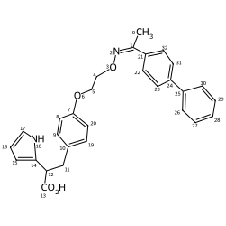 C/C(=N/OCCOc1ccc(CC(C(=O)O)c2ccc[nH]2)cc1)c1ccc(-c2ccccc2)cc1